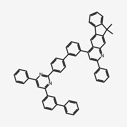 CC1(C)c2ccccc2-c2cc3c(-c4cccc(-c5ccc(-c6nc(-c7ccccc7)cc(-c7cccc(-c8ccccc8)c7)n6)cc5)c4)cc(-c4ccccc4)nc3cc21